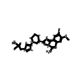 COc1cc2nc(N)n3nc([C@@H]4CCCN(c5ncn(CC(C)(C)O)n5)C4)nc3c2cc1F